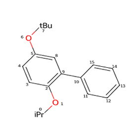 CC(C)Oc1ccc(OC(C)(C)C)cc1-c1ccccc1